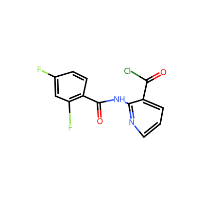 O=C(Nc1ncccc1C(=O)Cl)c1ccc(F)cc1F